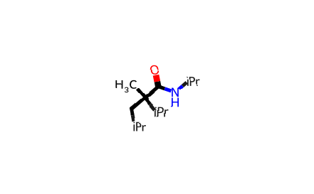 CC(C)CC(C)(C(=O)NC(C)C)C(C)C